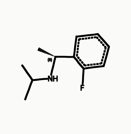 CC(C)N[C@H](C)c1ccccc1F